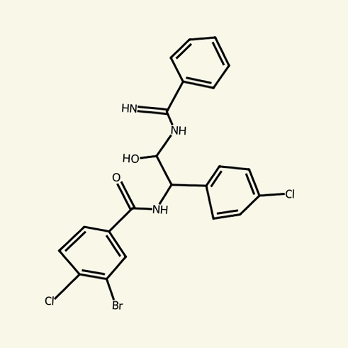 N=C(NC(O)C(NC(=O)c1ccc(Cl)c(Br)c1)c1ccc(Cl)cc1)c1ccccc1